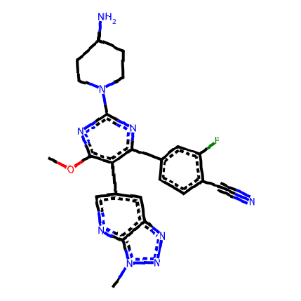 COc1nc(N2CCC(N)CC2)nc(-c2ccc(C#N)c(F)c2)c1-c1cnc2c(c1)nnn2C